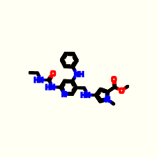 CCNC(=O)Nc1cc(Nc2ccccc2)c(CNc2cc(C(=O)OC)n(C)c2)cn1